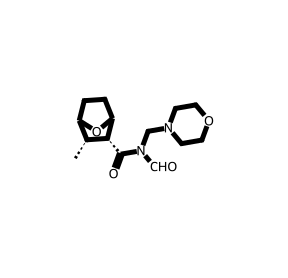 C[C@@H]1C2CCC(O2)[C@@H]1C(=O)N(C=O)CN1CCOCC1